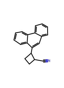 N#CC1CCC1c1cc2ccccc2c2ccccc12